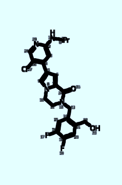 CC(C)Nc1cc(-c2cc3n(c2)CCN(Cc2cc(F)c(F)cc2CO)C3=O)c(Cl)cn1